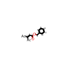 CC(=O)C(=CC(=O)OCc1ccccc1)C(C)=O